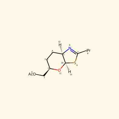 CC(=O)OC[C@H]1[C][C][C@H]2N=C(C(C)C)S[C@H]2O1